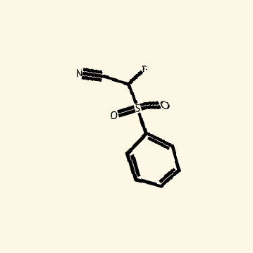 N#CC(F)S(=O)(=O)c1ccccc1